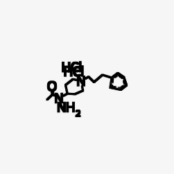 CC(=O)N(N)C1CCN(CCCc2ccccc2)CC1.Cl.Cl